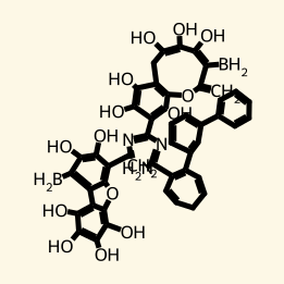 B/C1=C(O)/C(O)=C(/O)Cc2c(O)c(O)c(C(/N=C(\N)C3=C(c4cccc(-c5ccccc5)c4)C=CCC=C3)=N/C(=C)c3c(O)c(O)c(B)c4c3oc3c(O)c(O)c(O)c(O)c34)c(O)c2OC1=C